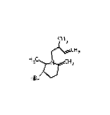 C=CC(C)CN1C(=C)CCC(CCCC)C1C